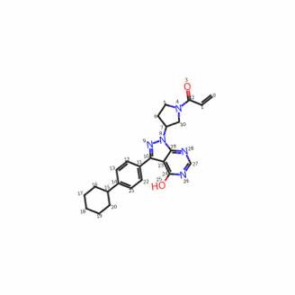 C=CC(=O)N1CCC(n2nc(-c3ccc(C4CCCCC4)cc3)c3c(O)ncnc32)C1